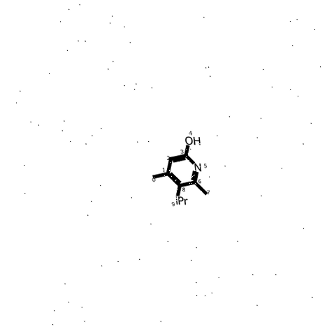 Cc1cc(O)nc(C)c1C(C)C